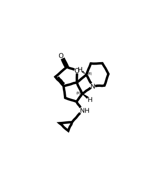 O=C1C=C2CC(NC3CC3)[C@H]3N4CCCC[C@@H]4C23O1